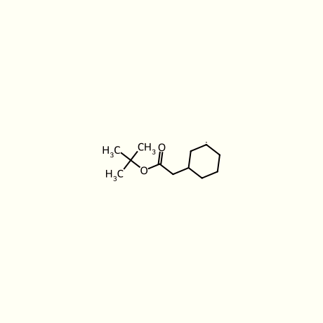 CC(C)(C)OC(=O)CC1C[CH]CCC1